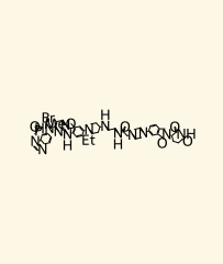 CCc1cc(Nc2ncc(Br)c(Nc3ccc4nccnc4c3P(C)(C)=O)n2)c(OC)cc1N1CCC(NCCNC(=O)CN2CCN(c3ccc4c(c3)C(=O)N(C3CCC(=O)NC3=O)C4)CC2)CC1